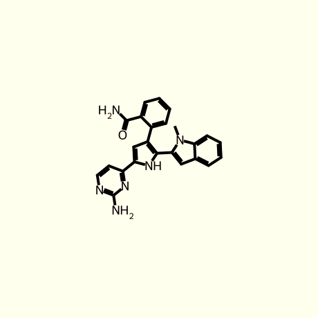 Cn1c(-c2[nH]c(-c3ccnc(N)n3)cc2-c2ccccc2C(N)=O)cc2ccccc21